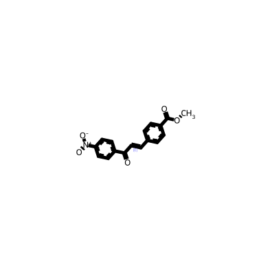 COC(=O)c1ccc(/C=C/C(=O)c2ccc([N+](=O)[O-])cc2)cc1